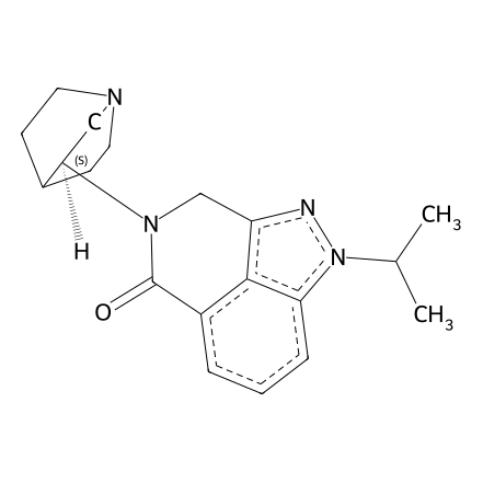 CC(C)n1nc2c3c(cccc31)C(=O)N([C@@H]1CN3CCC1CC3)C2